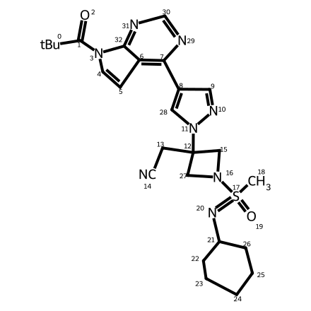 CC(C)(C)C(=O)n1ccc2c(-c3cnn(C4(CC#N)CN(S(C)(=O)=NC5CCCCC5)C4)c3)ncnc21